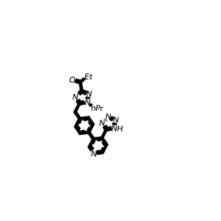 CCCn1nc(C(=O)CC)nc1Cc1ccc(-c2cnccc2-c2nnn[nH]2)cc1